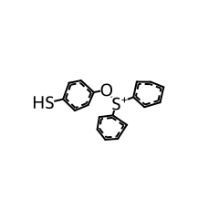 Sc1ccc(O[S+](c2ccccc2)c2ccccc2)cc1